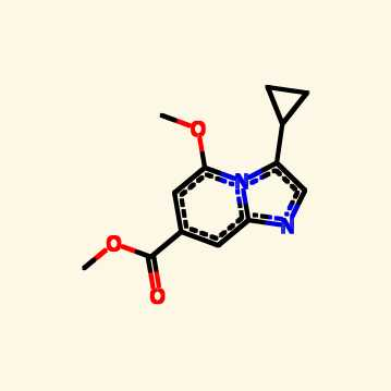 COC(=O)c1cc(OC)n2c(C3CC3)cnc2c1